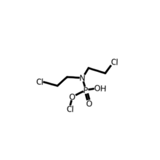 O=P(O)(OCl)N(CCCl)CCCl